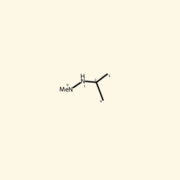 CNNC(C)C